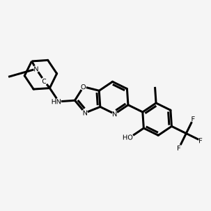 Cc1cc(C(F)(F)F)cc(O)c1-c1ccc2oc(NC34CCC(CC3)N(C)C4)nc2n1